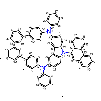 C1=CC(c2ccc(N(c3ccccc3)c3ccc4c(c3)c3cc(N(c5ccccc5)c5ccc(-c6ccccc6)cc5)ccc3n4-c3cc4ccccc4c4ccccc34)cc2)=CCC1